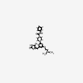 CN(C)CCOc1cc(C=C2SC(=O)NC2=O)nc(N2CCN(C(=O)Nc3ccccc3)CC2)n1